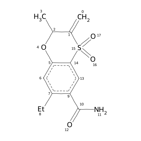 C=C1C(C)Oc2cc(CC)c(C(N)=O)cc2S1(=O)=O